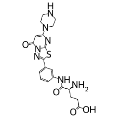 N[C@@H](CCC(=O)O)C(=O)Nc1cccc(-c2nn3c(=O)cc(N4CCNCC4)nc3s2)c1